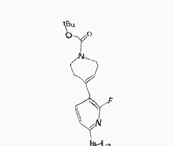 CC(C)(C)OC(=O)N1CC=C(c2ccc(N)nc2F)CC1